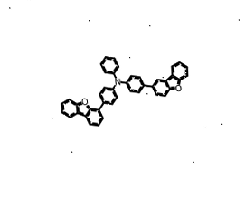 c1ccc(N(c2ccc(-c3ccc4oc5ccccc5c4c3)cc2)c2ccc(-c3cccc4c3oc3ccccc34)cc2)cc1